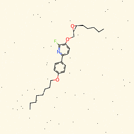 CCCCCCCCOc1ccc(-c2ccc(OCC3O[C@H]3CCCCC)c(F)n2)cc1